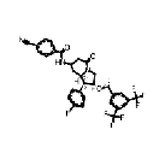 C[C@@H](O[C@H]1CN2C(=O)CC(NC(=O)c3ccc(C#N)cc3)C[C@H]2[C@@H]1c1ccc(F)cc1)c1cc(C(F)(F)F)cc(C(F)(F)F)c1